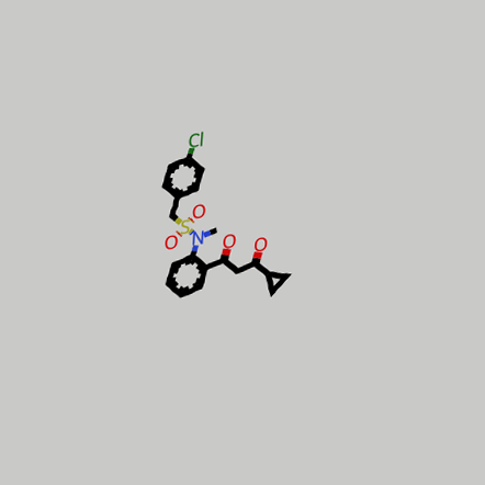 CN(c1ccccc1C(=O)CC(=O)C1CC1)S(=O)(=O)Cc1ccc(Cl)cc1